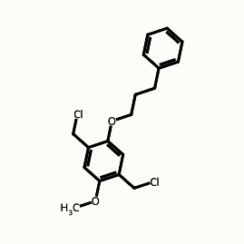 COc1cc(CCl)c(OCCCc2ccccc2)cc1CCl